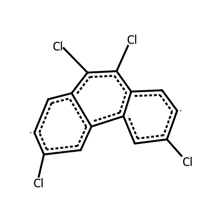 Clc1[c]cc2c(Cl)c(Cl)c3c[c]c(Cl)cc3c2c1